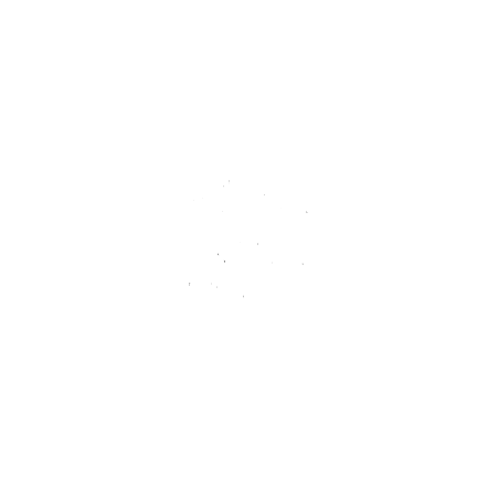 CC[N+]1(C(c2ccccc2I)C2CC2)CCCC1